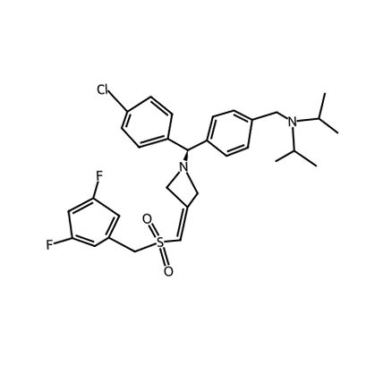 CC(C)N(Cc1ccc([C@H](c2ccc(Cl)cc2)N2CC(=CS(=O)(=O)Cc3cc(F)cc(F)c3)C2)cc1)C(C)C